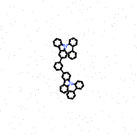 c1ccc(-c2ccccc2-n2c3ccccc3c3cc(-c4cccc(-c5ccc6c(c5)c5ccccc5n6-c5ccccc5-c5ccccc5)c4)ccc32)cc1